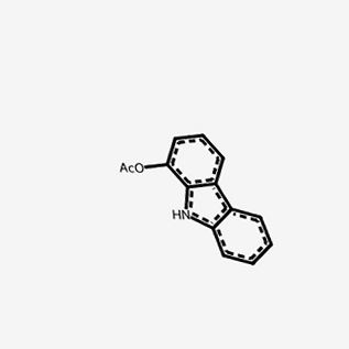 CC(=O)Oc1cccc2c1[nH]c1ccccc12